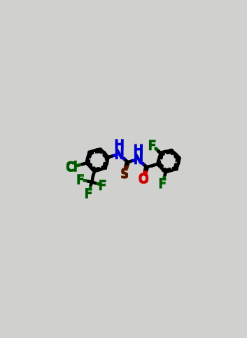 O=C(NC(=S)Nc1ccc(Cl)c(C(F)(F)F)c1)c1c(F)cccc1F